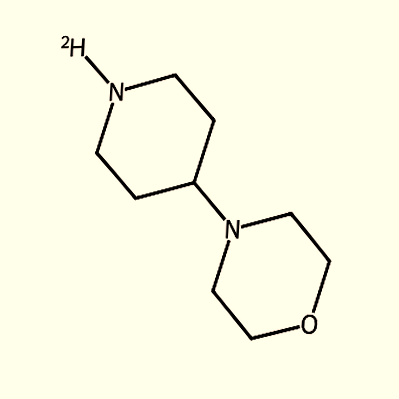 [2H]N1CCC(N2CCOCC2)CC1